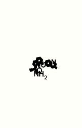 C#CC(C(N)=O)c1ccc2cccc(Oc3ccc4ncc(C)cc4c3)c2n1